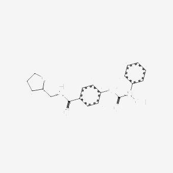 CN(C(=O)Oc1ccc(C(=O)NCC2CCCO2)cc1)c1ccccc1